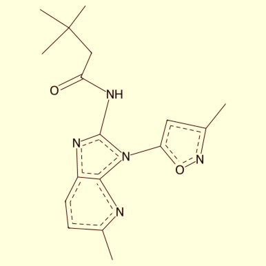 Cc1cc(-n2c(NC(=O)CC(C)(C)C)nc3ccc(C)nc32)on1